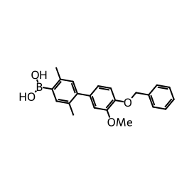 COc1cc(-c2cc(C)c(B(O)O)cc2C)ccc1OCc1ccccc1